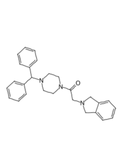 O=C(CN1Cc2ccccc2C1)N1CCN(C(c2ccccc2)c2ccccc2)CC1